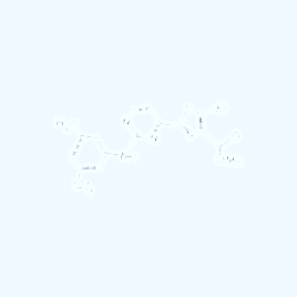 CCc1sc(-c2ccnc(Nc3cc(C)cc(C)c3)n2)nc1C(=O)OC